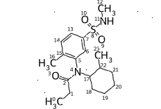 CCC(=O)N(c1cc(S(=O)(=O)NC)ccc1C)C1CCCCC1C